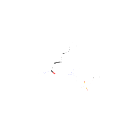 CCCC=CC(N)=O.CN(C)C.COS(=O)(=O)O